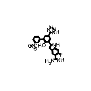 N=C(N)c1cc2cc(-c3cc(-c4nnn[nH]4)cc(-c4cccc([N+](=O)[O-])c4)c3O)[nH]c2cc1F